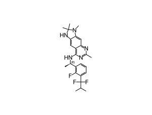 Cc1nc(N[C@H](C)c2cccc(C(F)(F)C(C)C)c2F)c2cc3c(cc2n1)N(C)C(C)(C)N3